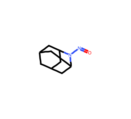 O=NN1C2CC3CC(C2)CC1C3